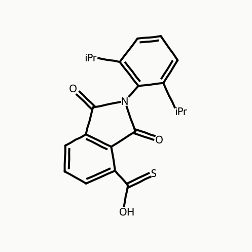 CC(C)c1cccc(C(C)C)c1N1C(=O)c2cccc(C(O)=S)c2C1=O